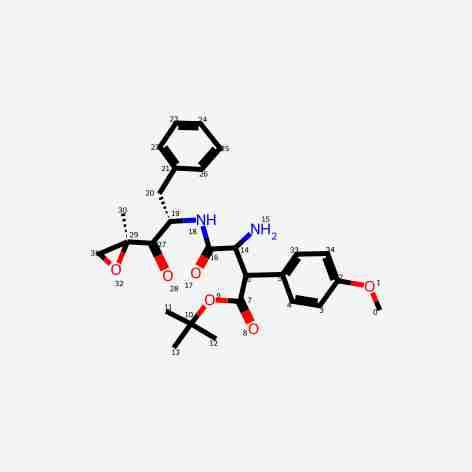 COc1ccc(C(C(=O)OC(C)(C)C)C(N)C(=O)N[C@@H](Cc2ccccc2)C(=O)[C@]2(C)CO2)cc1